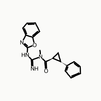 CN(C(=N)Nc1nc2ccccc2o1)C(=O)[C@H]1C[C@@H]1c1ccccc1